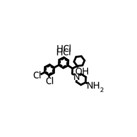 Cl.Cl.NC1CCN(CC(c2cccc(-c3ccc(Cl)c(Cl)c3)c2)C2(O)CCCCC2)CC1